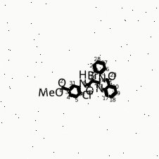 COC(=O)c1ccc(Cl)c(NC(=O)C(Br)c2nc3ccccc3c(=O)n2-c2ccccc2)c1